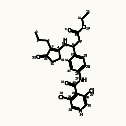 CCCC1=C(NC(CC(=O)OCC)c2ccc(NC(=O)c3c(Cl)cncc3Cl)cc2)CCC1=O